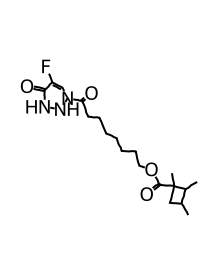 CC1CC(C)(C(=O)OCCCCCCCC(=O)N2C=C(F)C(=O)NN2)C1C